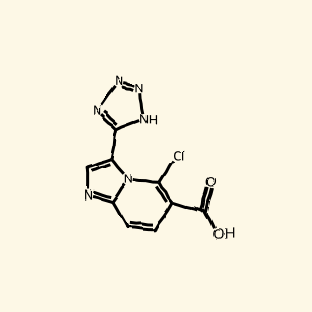 O=C(O)c1ccc2ncc(-c3nnn[nH]3)n2c1Cl